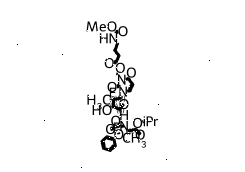 COC(=O)NCCCC(=O)OCn1c(=O)ccn([C@@H]2O[C@H](COP(=O)(N[C@@H](C)C(=O)OC(C)C)Oc3ccccc3)[C@@H](O)[C@@]2(C)F)c1=O